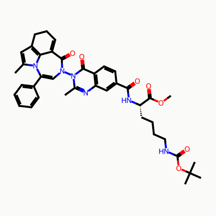 COC(=O)[C@H](CCCCNC(=O)OC(C)(C)C)NC(=O)c1ccc2c(=O)n(N3C=C(c4ccccc4)n4c(C)cc5c4C(=CCC5)C3=O)c(C)nc2c1